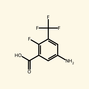 Nc1cc(C(=O)O)c(F)c(C(F)(F)F)c1